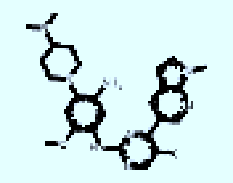 COc1cc(N2CCC(N(C)C)CC2)c(N)cc1Nc1ncc(Cl)c(-c2cnc3c(ccn3C)c2)n1